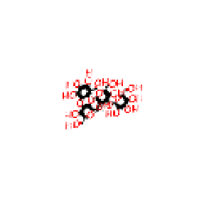 CC(C)[C@@H]1O[C@H](CO)[C@@H](O)[C@H](O[C@@H]2C[C@H](CO)[C@@H](O)[C@H](O)[C@H]2O)[C@H]1O[C@@H]1O[C@H](CO)[C@@H](O)[C@H](O[C@@H]2O[C@H](CO)[C@@H](O)[C@H](O)[C@H]2O)[C@H]1O